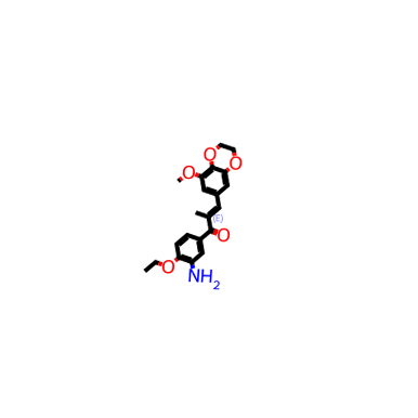 CCOc1ccc(C(=O)/C(C)=C/c2cc(OC)c3c(c2)OCCO3)cc1N